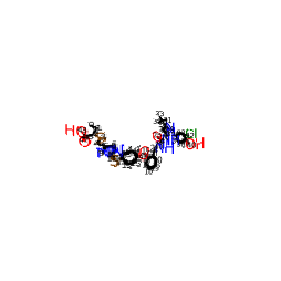 CCC(SCc1cn2c(n1)sc1ccc(Oc3ccccc3CNC(=O)Nc3cc(C(C)(C)C)nn3-c3ccc(O)c(Cl)c3)cc12)C(=O)O